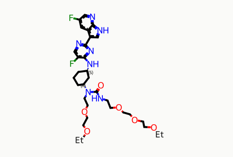 CCOCCOCCOCCNC(=O)N(CCOCCOCC)[C@@H]1CCC[C@H](Nc2nc(-c3c[nH]c4ncc(F)cc34)ncc2F)C1